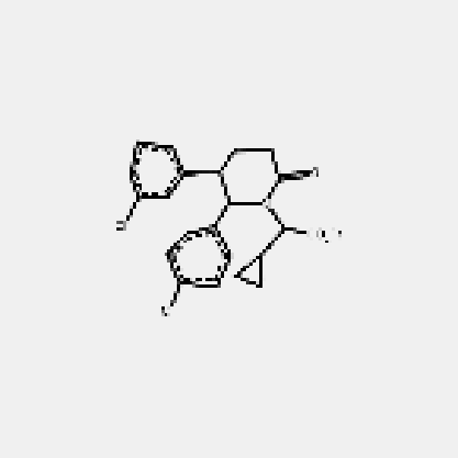 CCOC(=O)C(C1CC1)N1C(=O)CC[C@H](c2cccc(Cl)c2)C1c1ccc(Cl)cc1